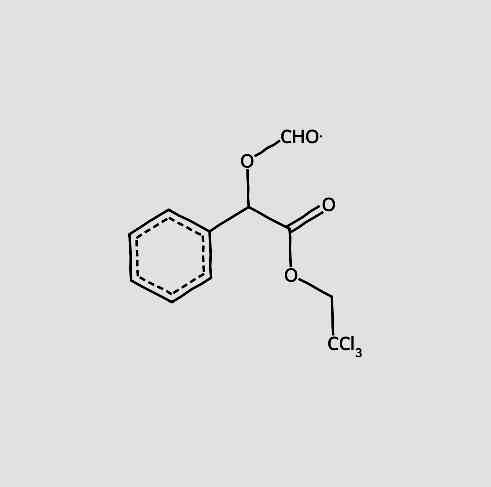 O=[C]OC(C(=O)OCC(Cl)(Cl)Cl)c1ccccc1